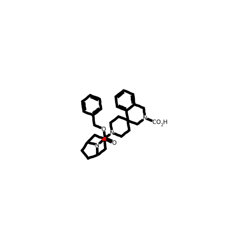 O=C(O)N1Cc2ccccc2C2(CCN(C3CC4CCC(C3)N4C(=O)OCc3ccccc3)CC2)C1